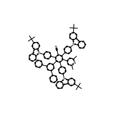 Cc1cc(-c2c(-c3ccc(-n4c5ccccc5c5cc(C(C)(C)C)ccc54)cc3)c(C#N)c(-c3ccc(-n4c5ccccc5c5cc(C(C)(C)C)ccc54)cc3)c(-c3cc(-c4ccccc4)cc(-c4ccccc4)c3)c2-c2ccc(-n3c4ccccc4c4cc(C(C)(C)C)ccc43)cc2)cc(C)n1